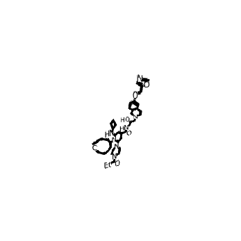 CCC(=O)N1CCN(C2CC(C(=O)NC[C@H](O)CN3CCc4cc(OCc5cnco5)ccc4C3)CC(NC3CCC3)N2C2CCCCCCCCC2)CC1